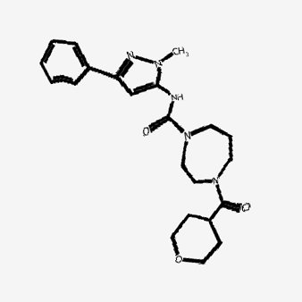 Cn1nc(-c2ccccc2)cc1NC(=O)N1CCCN(C(=O)C2CCOCC2)CC1